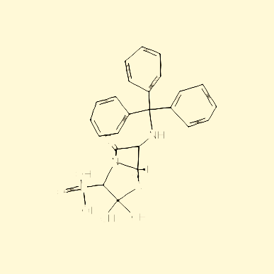 CC1(C)S[C@H]2C(NC(c3ccccc3)(c3ccccc3)c3ccccc3)C(=O)N2C1P(=O)(O)O